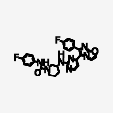 O=C(Nc1ccc(F)cc1)N1CCC[C@@H](Nc2nccc(-c3c(-c4ccc(F)cc4)nc4occn34)n2)C1